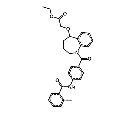 CCOC(=O)COC1CCCN(C(=O)c2ccc(NC(=O)c3ccccc3C)cc2)c2ccccc21